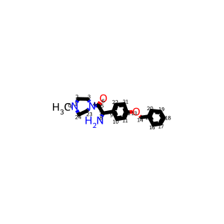 CN1CCN(C(=O)C(N)c2ccc(OCc3ccccc3)cc2)CC1